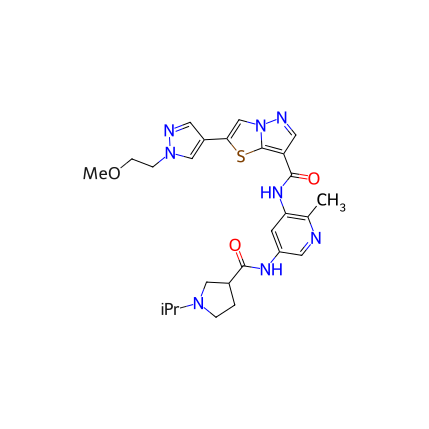 COCCn1cc(-c2cn3ncc(C(=O)Nc4cc(NC(=O)C5CCN(C(C)C)C5)cnc4C)c3s2)cn1